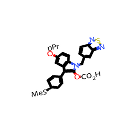 CCCOc1ccc2c(c1)c(-c1ccc(SC)cc1)c(OC(=O)O)n2Cc1ccc2nsnc2c1